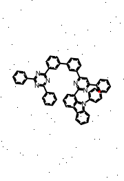 c1ccc(-c2cc(-c3cccc(-c4cccc(-c5nc(-c6ccccc6)nc(-c6ccccc6)n5)c4)c3)nc(-c3cccc4c5ccccc5n(-c5ccccc5)c34)n2)cc1